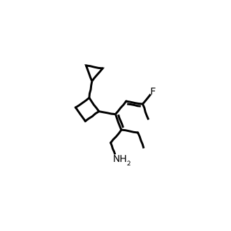 CC/C(CN)=C(\C=C(/C)F)C1CCC1C1CC1